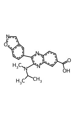 CC(C)N(C)c1nc2cc(C(=O)O)ccc2nc1-c1ccc2oncc2c1